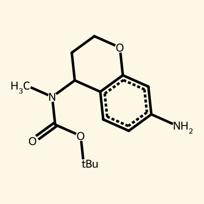 CN(C(=O)OC(C)(C)C)C1CCOc2cc(N)ccc21